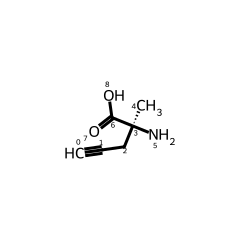 C#CC[C@](C)(N)C(=O)O